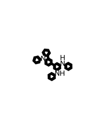 c1ccc(Nc2cc(Nc3ccccc3)cc(-c3ccc4c(c3)c3ccccc3n4-c3ccccc3)c2)cc1